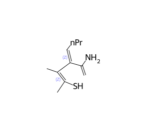 C=C(N)C(=C\CCC)/C(C)=C(/C)S